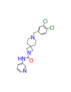 O=C(Nc1cccnc1)N1CC2(CCN(Cc3ccc(Cl)c(Cl)c3)CC2)C1